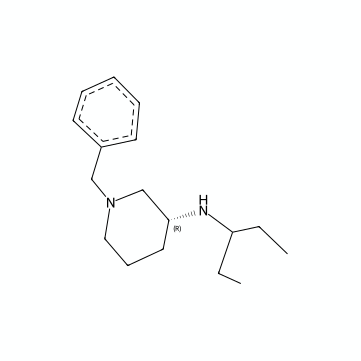 CCC(CC)N[C@@H]1CCCN(Cc2ccccc2)C1